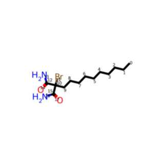 CCCCCCCCCCC(Br)(C(N)=O)C(N)=O